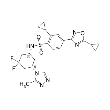 Cc1nncn1[C@H]1C[C@@H](NS(=O)(=O)c2ccc(-c3noc(C4CC4)n3)cc2C2CC2)CC(F)(F)C1